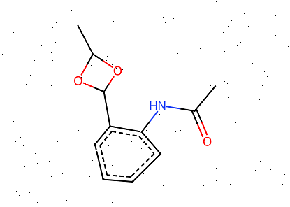 CC(=O)Nc1ccccc1C1OC(C)O1